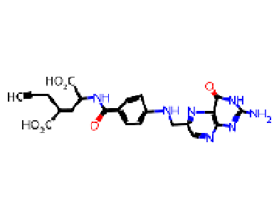 C#CCC(CC(NC(=O)c1ccc(NCc2cnc3nc(N)[nH]c(=O)c3n2)cc1)C(=O)O)C(=O)O